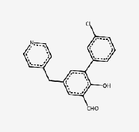 O=Cc1cc(Cc2ccncc2)cc(-c2cccc(Cl)c2)c1O